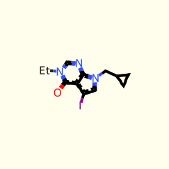 CCn1cnc2c(c(I)cn2CC2CC2)c1=O